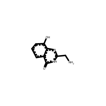 NCc1nc2c(O)cccc2c(=O)[nH]1